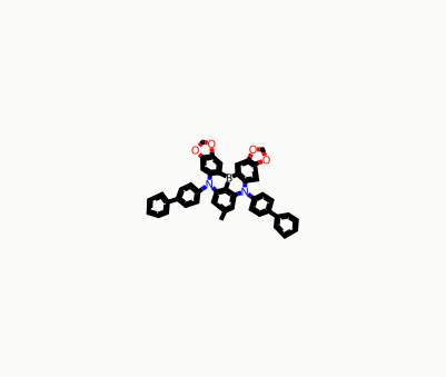 Cc1cc2c3c(c1)N(c1ccc(-c4ccccc4)cc1)c1cc4c(cc1B3c1cc3c(cc1N2c1ccc(-c2ccccc2)cc1)OCO3)OCO4